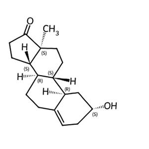 C[C@]12CC[C@H]3[C@@H](CCC4=CC[C@@H](O)C[C@@H]43)[C@@H]1CCC2=O